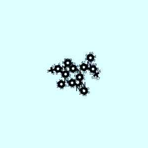 CC(C)(C)c1ccc2c(c1)c1cc(N(c3ccccc3)c3ccc(-c4nc5ccccc5nc4-c4ccc(N(c5ccccc5)c5ccc6c(c5)c5cc(C(C)(C)C)ccc5n6-c5ccccc5)cc4)cc3)ccc1n2-c1ccccc1